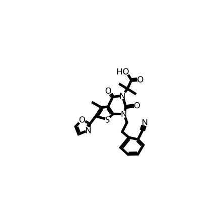 Cc1c(-c2ncco2)sc2c1c(=O)n(C(C)(C)C(=O)O)c(=O)n2CCc1ccccc1C#N